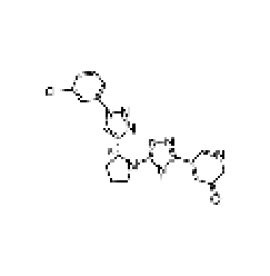 Cn1c(C2=CC(=O)CN=C2)nnc1N1CCC[C@@H]1c1cn(-c2cccc(Cl)c2)nn1